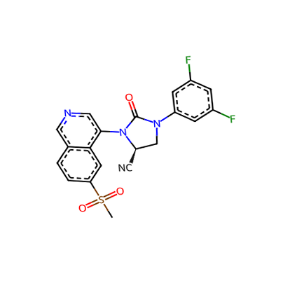 CS(=O)(=O)c1ccc2cncc(N3C(=O)N(c4cc(F)cc(F)c4)C[C@H]3C#N)c2c1